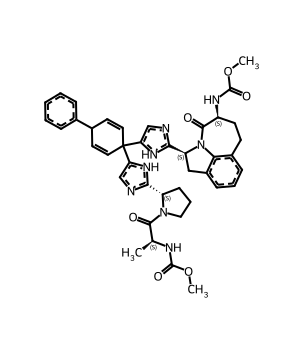 COC(=O)N[C@@H](C)C(=O)N1CCC[C@H]1c1ncc(C2(c3cnc([C@@H]4Cc5cccc6c5N4C(=O)[C@@H](NC(=O)OC)CC6)[nH]3)C=CC(c3ccccc3)C=C2)[nH]1